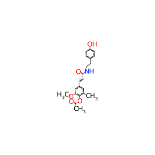 COc1cc(/C=C/C(=O)NCCc2ccc(O)cc2)cc(C)c1OC(C)=O